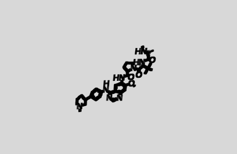 CN[C@@H](C)C(=O)N[C@H](C(=O)N1CCCC1C(=O)Nc1cc2c(Nc3ccc(C4CCCN(C)C4)cc3)ncnc2cc1OC)C(C)(C)C